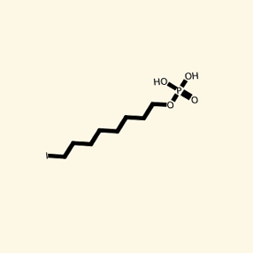 O=P(O)(O)OCCCCCCCCI